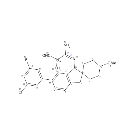 COC1CCC2(CC1)Cc1ccc(-c3cc(F)cc(Cl)c3)cc1C2/N=C(/N)N(C)C=O